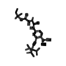 CCC(C)(C)OC(=O)NC(C)C(=O)Nc1ccc(B(O)O)c(C#C[Si](C(C)C)(C(C)C)C(C)C)n1